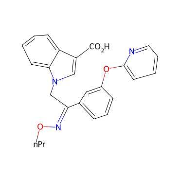 CCCO/N=C(\Cn1cc(C(=O)O)c2ccccc21)c1cccc(Oc2ccccn2)c1